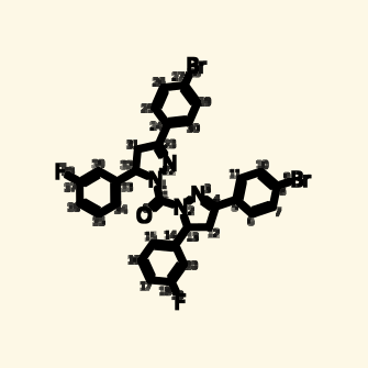 O=C(N1N=C(c2ccc(Br)cc2)CC1c1cccc(F)c1)N1N=C(c2ccc(Br)cc2)CC1c1cccc(F)c1